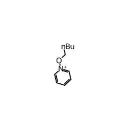 CCCCCO[n+]1ccccc1